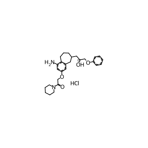 Cl.Nc1cc(OCC(=O)N2CCCCC2)cc2c1CCCC(C[C@H](O)COc1ccccc1)C2